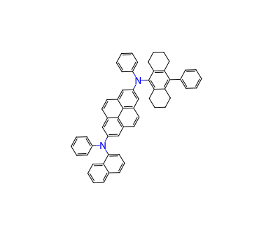 c1ccc(-c2c3c(c(N(c4ccccc4)c4cc5ccc6cc(N(c7ccccc7)c7cccc8ccccc78)cc7ccc(c4)c5c67)c4c2CCCC4)CCCC3)cc1